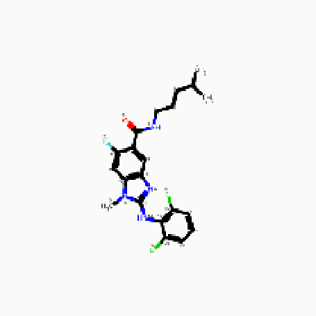 CC(C)CCCNC(=O)c1cc2nc(Nc3c(Cl)cccc3Cl)n(C)c2cc1F